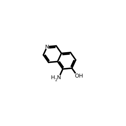 Nc1c(O)ccc2cnccc12